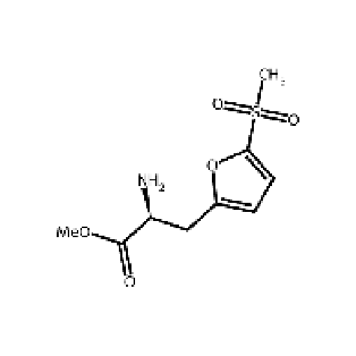 COC(=O)[C@@H](N)Cc1ccc(S(C)(=O)=O)o1